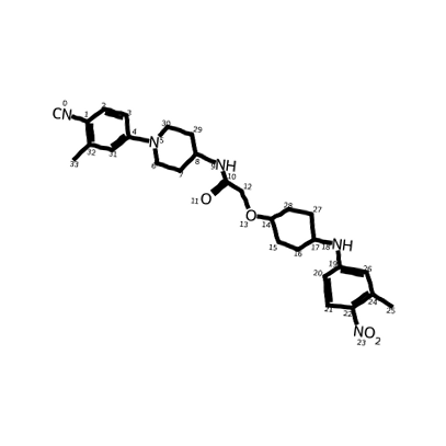 [C-]#[N+]c1ccc(N2CCC(NC(=O)COC3CCC(Nc4ccc([N+](=O)[O-])c(C)c4)CC3)CC2)cc1C